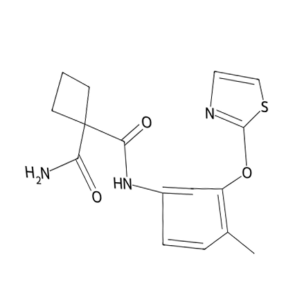 Cc1ccc(NC(=O)C2(C(N)=O)CCC2)cc1Oc1nccs1